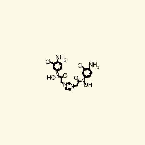 Nc1ccc(N(O)C(=O)Cn2cc[n+](CC(=O)N(O)c3ccc(N)c(Cl)c3)c2)cc1Cl